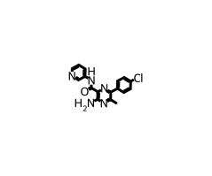 Cc1nc(N)c(C(=O)Nc2cccnc2)nc1-c1ccc(Cl)cc1